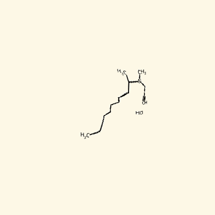 C#CCN(C)C(C)CCCCCCCC.Cl